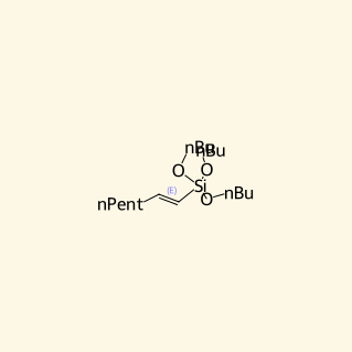 CCCCC/C=C/[Si](OCCCC)(OCCCC)OCCCC